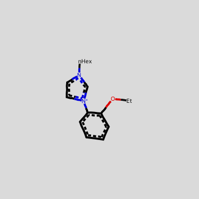 CCCCCCn1cc[n+](-c2ccccc2OCC)c1